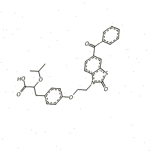 CC(C)OC(Cc1ccc(OCCn2c(=O)sc3cc(C(=O)c4ccccc4)ccc32)cc1)C(=O)O